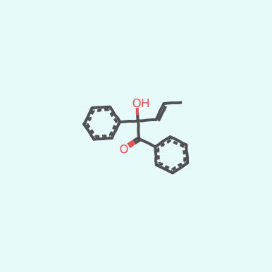 CC=CC(O)(C(=O)c1ccccc1)c1ccccc1